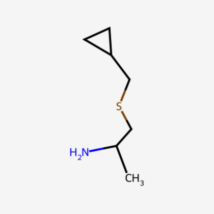 CC(N)CSCC1CC1